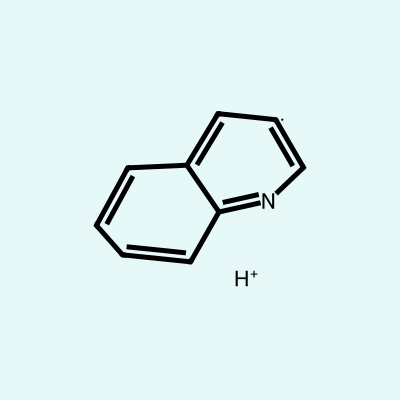 [H+].[c]1cnc2ccccc2c1